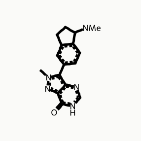 CNC1CCc2cc(-c3c4nc[nH]c(=O)c4nn3C)ccc21